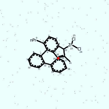 CCCc1ccc2c(c1-c1ccccc1-c1ccccc1)C=C(C)[CH]2[Zr]([Cl])[Cl]